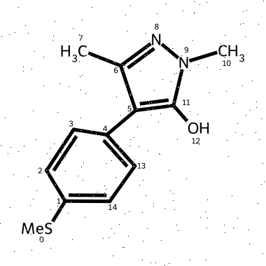 CSc1ccc(-c2c(C)nn(C)c2O)cc1